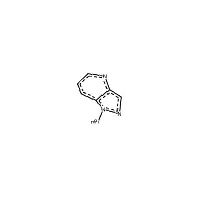 CCCn1ncc2ncccc21